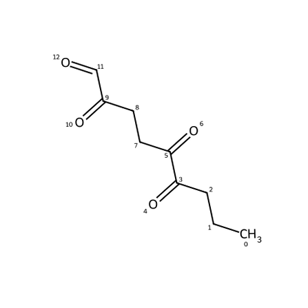 CCCC(=O)C(=O)CCC(=O)C=O